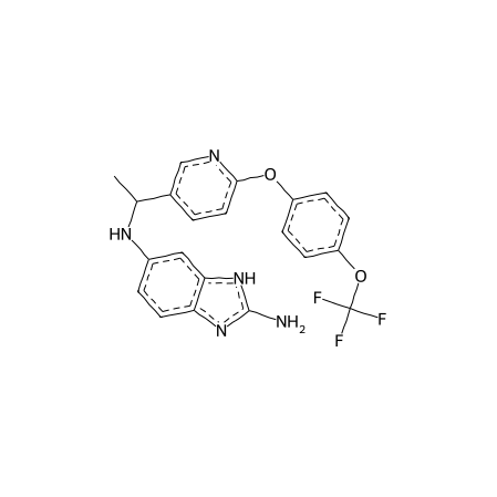 CC(Nc1ccc2nc(N)[nH]c2c1)c1ccc(Oc2ccc(OC(F)(F)F)cc2)nc1